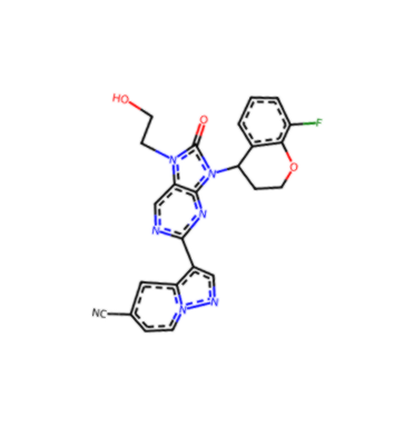 N#Cc1ccn2ncc(-c3ncc4c(n3)n(C3CCOc5c(F)cccc53)c(=O)n4CCO)c2c1